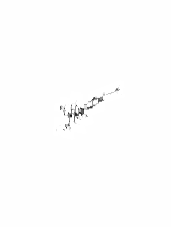 CC1CCCN1Cc1sc(NC(=O)c2cnc(N3CCN(CCC=O)CC3)cn2)nc1-c1csc(Cl)c1